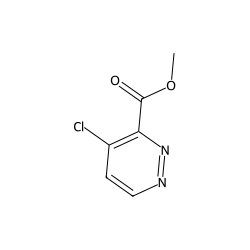 COC(=O)c1nnccc1Cl